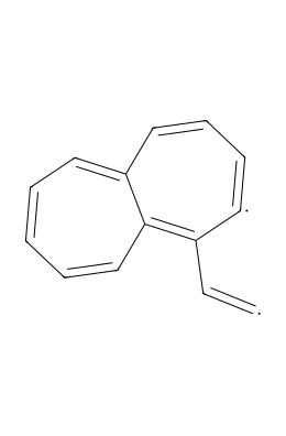 [CH]=CC1=C2C=CC=CC=C2C=CC=[C]1